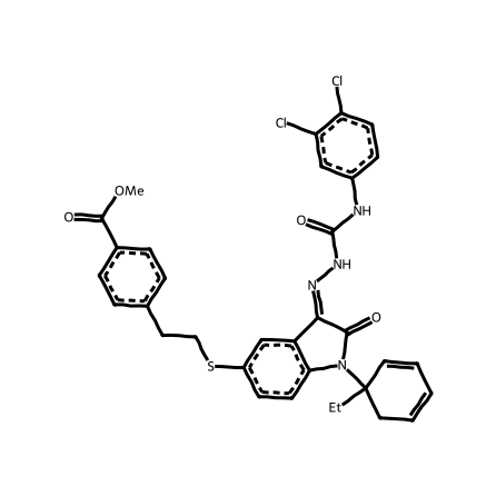 CCC1(N2C(=O)C(=NNC(=O)Nc3ccc(Cl)c(Cl)c3)c3cc(SCCc4ccc(C(=O)OC)cc4)ccc32)C=CC=CC1